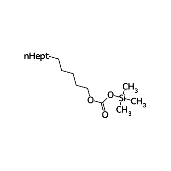 CCCCCCCCCCCCOC(=O)O[Si](C)(C)C